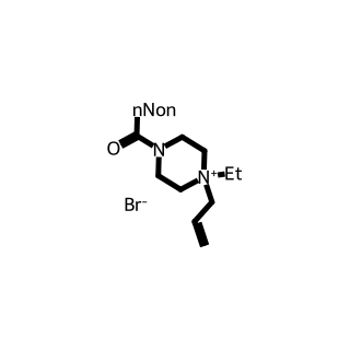 C=CC[N+]1(CC)CCN(C(=O)CCCCCCCCC)CC1.[Br-]